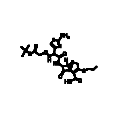 CCCSC1=C(C(=O)O)N2C(=O)C(NC(=O)C(NOCC(=O)OC(C)(C)C)c3csc(N)n3)[C@@H]2SC1